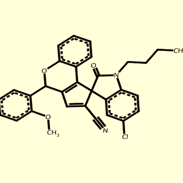 CCCCN1C(=O)C2(C(C#N)=CC3=C2c2ccccc2OC3c2ccccc2OC)c2cc(Cl)ccc21